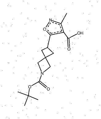 Cc1noc(C2CC3(C2)CN(C(=O)OC(C)(C)C)C3)c1C(=O)O